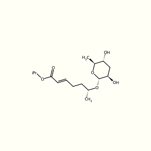 CC(C)OC(=O)/C=C/CC[C@@H](C)O[C@@H]1O[C@@H](C)[C@H](O)C[C@H]1O